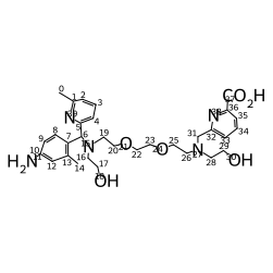 Cc1cccc(C(c2ccc(N)cc2C)N(CCO)CCOCCOCCN(CCO)Cc2cccc(C(=O)O)n2)n1